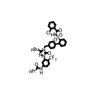 CCCCc1nn(-c2cc(NC(=O)CCC)ccc2C(F)(F)F)c(=O)n1Cc1ccc(-c2ccccc2S(=O)(=O)NC(=O)c2ccccc2Cl)cc1